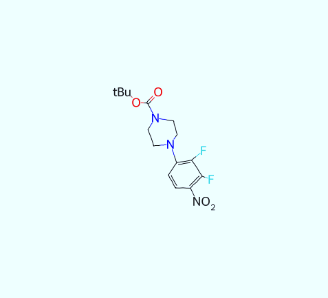 CC(C)(C)OC(=O)N1CCN(c2ccc([N+](=O)[O-])c(F)c2F)CC1